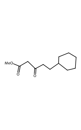 COC(=O)CC(=O)CCC1CCCCC1